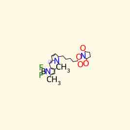 Cc1cc(C)n(B(F)F)c1/C=C1/C=CC(CCCCC(=O)ON2C(=O)CCC2=O)=N1